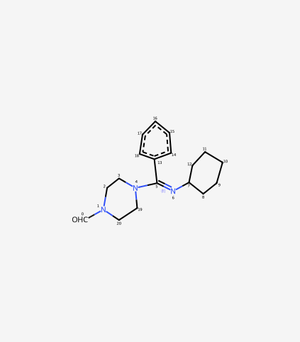 O=CN1CCN(/C(=N/C2CCCCC2)c2ccccc2)CC1